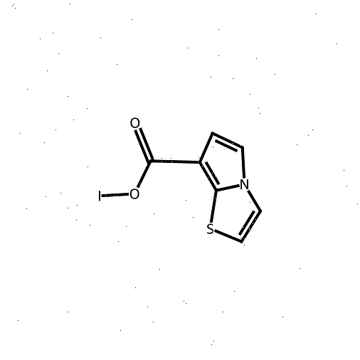 O=C(OI)c1ccn2ccsc12